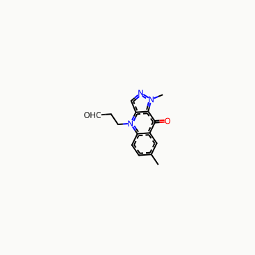 Cc1ccc2c(c1)c(=O)c1c(cnn1C)n2CCC=O